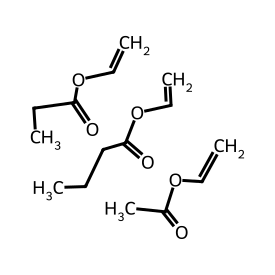 C=COC(=O)CC.C=COC(=O)CCC.C=COC(C)=O